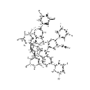 Cc1cc(C)nc(-c2cc(-n3c4cc(-c5nc(C)nc(C)n5)ccc4c4ccc(-c5nc(C)nc(C)n5)cc43)c(-n3c4cc(-c5nc(C)nc(C)n5)ccc4c4ccc(-c5nc(C)nc(C)n5)cc43)cc2C#N)n1